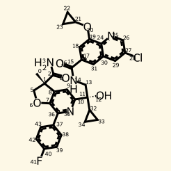 C[C@]1(C(N)=O)COc2c1cc([C@@](O)(CNC(=O)c1cc(OC3CC3)c3ncc(Cl)cc3c1)C1CC1)nc2-c1ccc(F)cc1